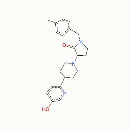 Cc1ccc(CN2CCC(N3CCC(c4ccc(O)cn4)CC3)C2=O)cc1